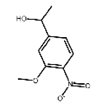 COc1cc(C(C)O)ccc1[N+](=O)[O-]